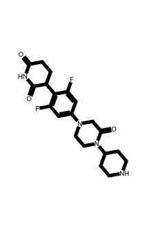 O=C1CCC(c2c(F)cc(N3CCN(C4CCNCC4)C(=O)C3)cc2F)C(=O)N1